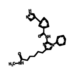 CNC(=O)CCCCCc1cn(-c2ccccc2)c(NC(=O)c2cccc(-c3cn[nH]c3)c2)n1